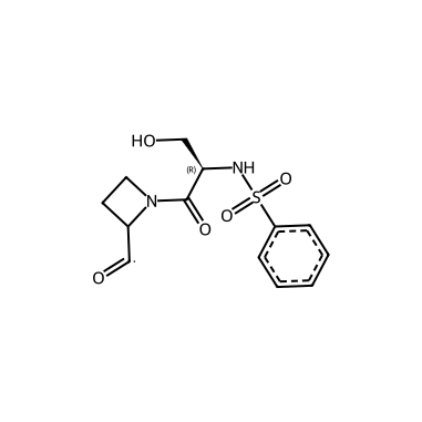 O=[C]C1CCN1C(=O)[C@@H](CO)NS(=O)(=O)c1ccccc1